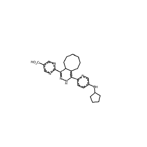 O=C(O)c1cnc(C2=NNC(c3ccc(BC4CCCC4)cn3)=C3CCCCCCC23)nc1